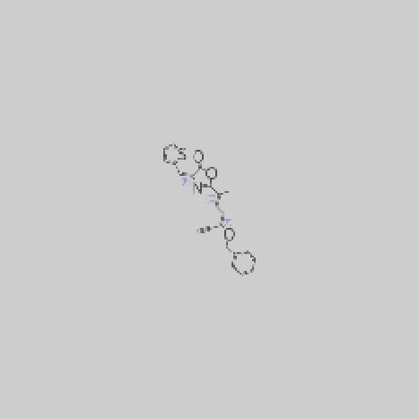 C#C/C(=C\C=C(/C)C1=N/C(=C/c2cccs2)C(=O)O1)OCc1ccccc1